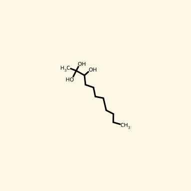 CCCCCCCCC(O)C(C)(O)O